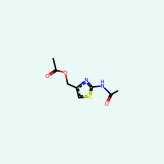 CC(=O)Nc1nc(COC(C)=O)cs1